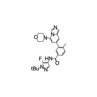 Cc1ccc(C(=O)Nc2cnn(C(C)(C)C)c2F)cc1-c1cc(N2CCOCC2)n2cncc2c1